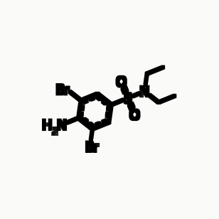 CCN(CC)S(=O)(=O)c1cc(Br)c(N)c(Br)c1